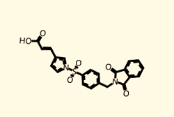 O=C(O)/C=C/c1ccn(S(=O)(=O)c2ccc(CN3C(=O)c4ccccc4C3=O)cc2)c1